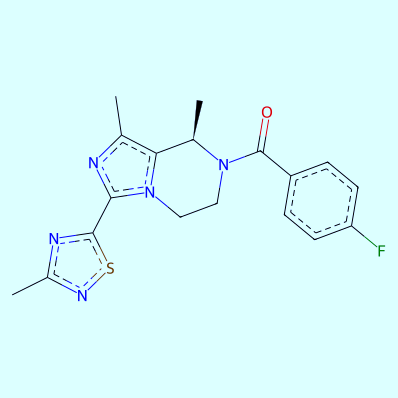 Cc1nsc(-c2nc(C)c3n2CCN(C(=O)c2ccc(F)cc2)[C@@H]3C)n1